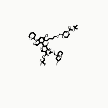 CC(C)(C)OC(=O)N1CCO[C@@H](COCCCCc2c(Cl)cc3c(cnn3C3CCCCO3)c2-c2ncc3c(OCC(F)(F)F)nc(OC[C@@]45CCCN4C[C@H](F)C5)nc3c2F)C1